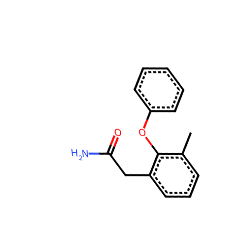 Cc1cccc(CC(N)=O)c1Oc1ccccc1